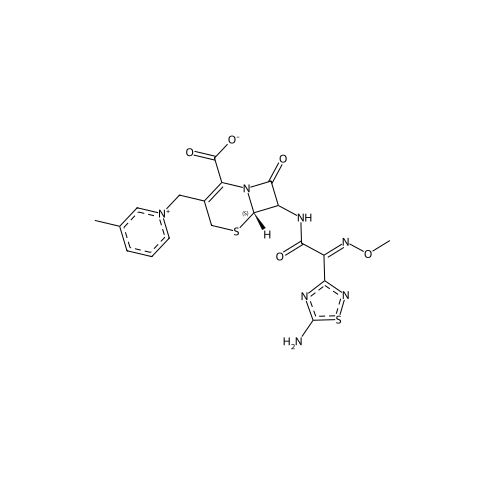 CON=C(C(=O)NC1C(=O)N2C(C(=O)[O-])=C(C[n+]3cccc(C)c3)CS[C@@H]12)c1nsc(N)n1